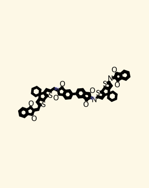 O=C1C(=Cc2cc3c(s2)-c2sc(/C=C4\C(=O)c5ccc(-c6ccc7c(=O)/c(=N\c8cc9c(s8)-c8sc(N=c%10c(=O)c%11ccccc%11c%10=O)cc8C98CCCCC8)c(=O)c7c6)cc5C4=O)cc2C32CCCCC2)C(=O)c2ccccc21